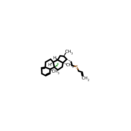 C=CCSCC[C@H]1[C@H](C)C[C@H]2[C@@H]3CCC4=CCC=C[C@]4(C)[C@@]3(F)CC[C@]12C